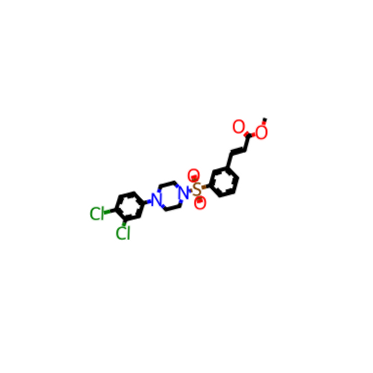 COC(=O)/C=C/c1cccc(S(=O)(=O)N2CCN(c3ccc(Cl)c(Cl)c3)CC2)c1